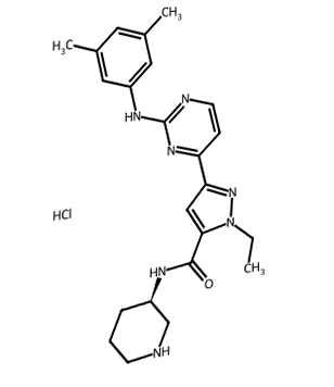 CCn1nc(-c2ccnc(Nc3cc(C)cc(C)c3)n2)cc1C(=O)N[C@@H]1CCCNC1.Cl